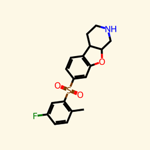 Cc1ccc(F)cc1S(=O)(=O)c1ccc2c(c1)OC1CNCCC21